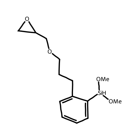 CO[SiH](OC)c1ccccc1CCCOCC1CO1